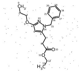 CCCOc1cc(CCC(=O)OCC)n(Cc2ccccc2)n1